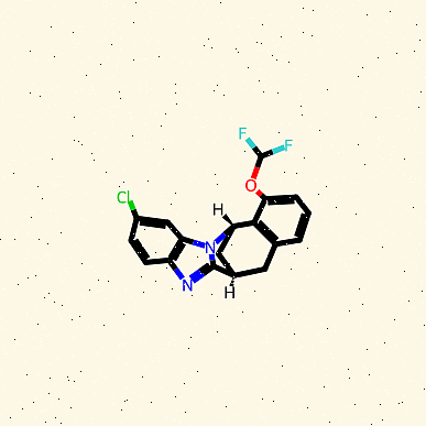 FC(F)Oc1cccc2c1[C@@H]1C[C@@H](C2)c2nc3ccc(Cl)cc3n21